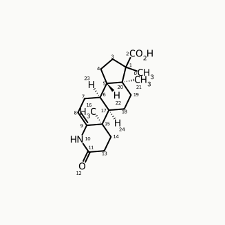 CC1(C(=O)O)CC[C@H]2[C@@H]3CC=C4NC(=O)CC[C@]4(C)[C@@H]3CC[C@@]21C